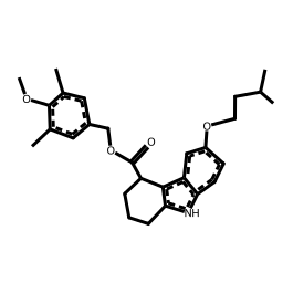 COc1c(C)cc(COC(=O)C2CCCc3[nH]c4ccc(OCCC(C)C)cc4c32)cc1C